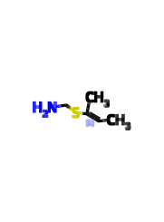 C/C=C(\C)SCN